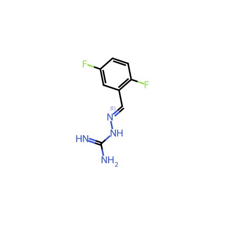 N=C(N)N/N=C/c1cc(F)ccc1F